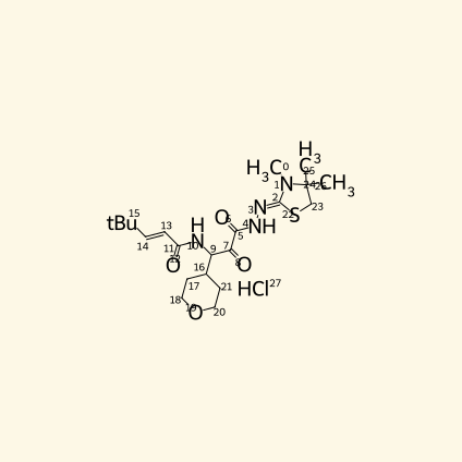 CN1C(=NNC(=O)C(=O)C(NC(=O)C=CC(C)(C)C)C2CCOCC2)SCC1(C)C.Cl